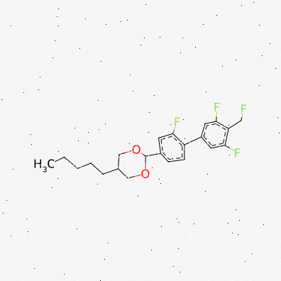 CCCCCC1COC(c2ccc(-c3cc(F)c(CF)c(F)c3)c(F)c2)OC1